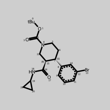 CC(C)(C)OC(=O)N1CC[C@H](c2cccc(Br)c2)[C@@H](C(=O)NC2CC2)C1